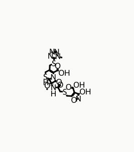 CO[C@@]1(NC(=O)CSCc2onc(O)c2C(=O)O)C(=O)N2C(C(=O)O)=C(CSc3nnnn3C)CS[C@@H]21